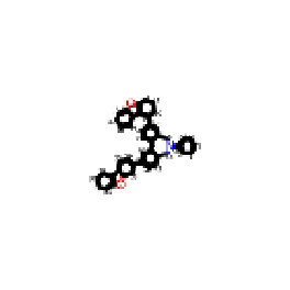 c1ccc(N2Cc3cc(-c4cccc5oc6ccccc6c45)ccc3-c3cc(-c4ccc5c(c4)oc4ccccc45)ccc3C2)cc1